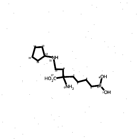 NC(CCCCB(O)O)(CCNC1CCCC1)C(=O)O